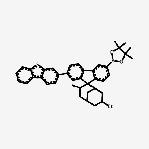 CCC1CC2CC(C)C3(c4ccc(B5OC(C)(C)C(C)(C)O5)cc4-c4ccc(-c5ccc6c(c5)sc5ccccc56)cc43)C(C1)C2